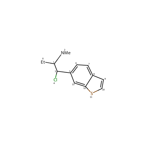 CCC(NC)C(Cl)c1ccc2ccsc2c1